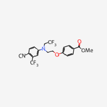 [C-]#[N+]c1ccc(N(CCOc2ccc(C(=O)OC)cc2)CC(F)(F)F)cc1C(F)(F)F